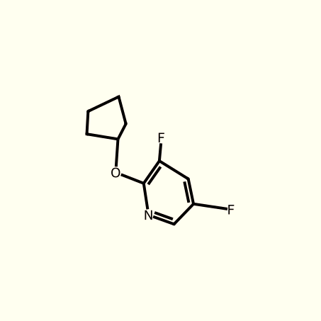 Fc1cnc(OC2CCCC2)c(F)c1